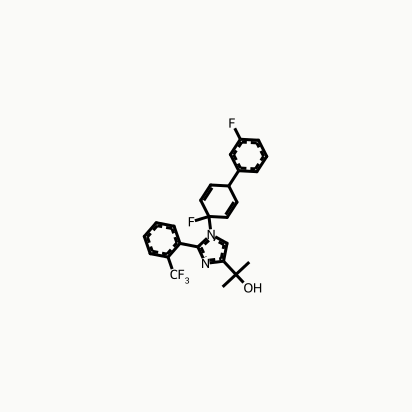 CC(C)(O)c1cn(C2(F)C=CC(c3cccc(F)c3)C=C2)c(-c2ccccc2C(F)(F)F)n1